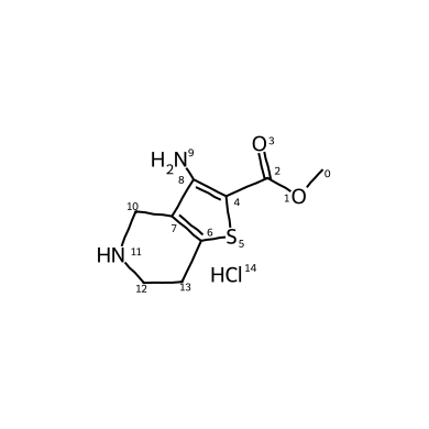 COC(=O)c1sc2c(c1N)CNCC2.Cl